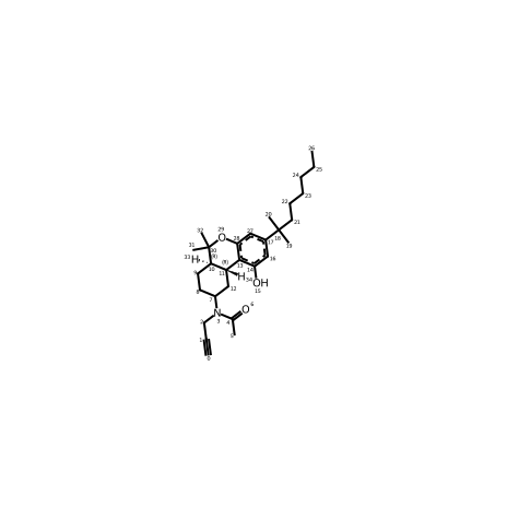 C#CCN(C(C)=O)C1CC[C@@H]2[C@@H](C1)c1c(O)cc(C(C)(C)CCCCCC)cc1OC2(C)C